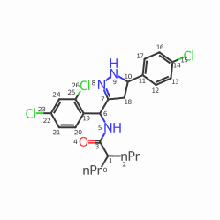 CCCC(CCC)C(=O)NC(C1=NNC(c2ccc(Cl)cc2)C1)c1ccc(Cl)cc1Cl